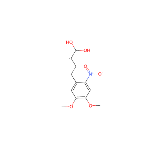 COc1cc(CC[CH]C(O)O)c([N+](=O)[O-])cc1OC